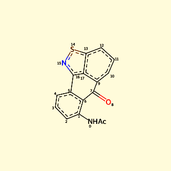 CC(=O)Nc1cccc2c1C(=O)c1cccc3snc-2c13